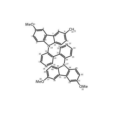 COc1ccc2c(c1)c1cc(C)ccc1n2-c1ccncc1-c1cnccc1-n1c2ccc(OC)cc2c2cc(OC)ccc21